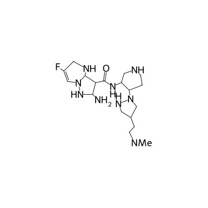 CNCCC1CNN(C2CCNCC2NC(=O)C2C(N)NN3C=C(F)CNC23)C1